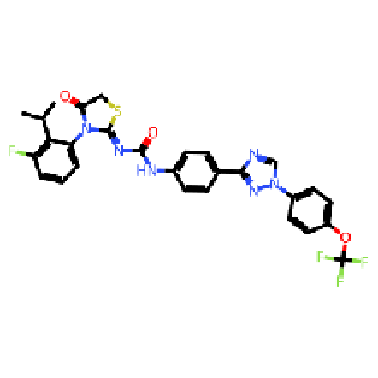 CC(C)c1c(F)cccc1N1C(=O)CS/C1=N\C(=O)Nc1ccc(-c2ncn(-c3ccc(OC(F)(F)F)cc3)n2)cc1